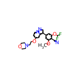 COc1cc(-c2cnn3ccc(OCCN4CCOCC4)cc23)cc(OC(F)F)c1C#N